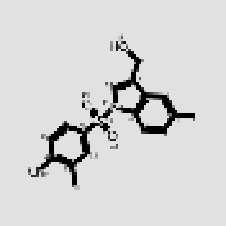 Cc1ccc2c(c1)c(CO)cn2S(=O)(=O)c1ccc(Cl)c(C)c1